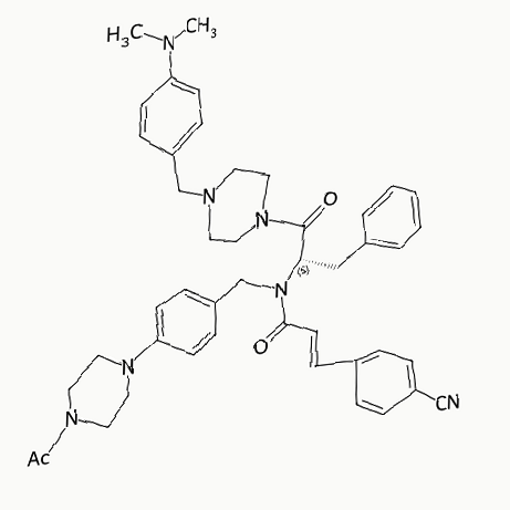 CC(=O)N1CCN(c2ccc(CN(C(=O)C=Cc3ccc(C#N)cc3)[C@@H](Cc3ccccc3)C(=O)N3CCN(Cc4ccc(N(C)C)cc4)CC3)cc2)CC1